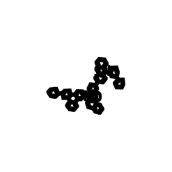 c1ccc(-c2cccc(N3c4ccccc4Sc4cc(-c5ccc6c(c5)Oc5c(ccc7ccccc57)N6c5ccc6c7ccc(-c8ccccc8)cc7c7ccccc7c6c5)ccc43)c2)cc1